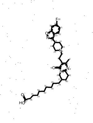 Cc1nc2n(c(=O)c1CCN1CCC(c3noc4cc(F)ccc34)CC1)CC(CCCCCCCCCC(=O)O)CC2